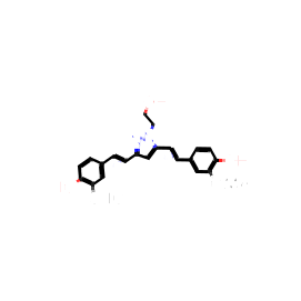 COc1cc(/C=C/c2cc(/C=C/c3ccc(O)c(C=O)c3)nn2CCO)ccc1O